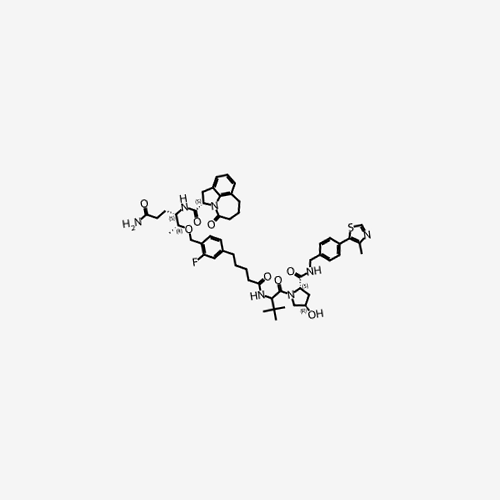 Cc1ncsc1-c1ccc(CNC(=O)[C@@H]2C[C@@H](O)CN2C(=O)C(NC(=O)CCCCc2ccc(CO[C@H](C)[C@H](CCC(N)=O)NC(=O)[C@@H]3Cc4cccc5c4N3C(=O)CCC5)c(F)c2)C(C)(C)C)cc1